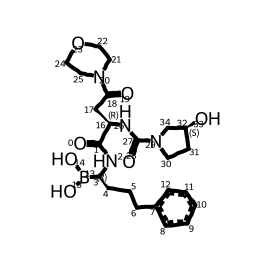 O=C(N[C@@H](CCCc1ccccc1)B(O)O)[C@@H](CC(=O)N1CCOCC1)NC(=O)N1CC[C@H](O)C1